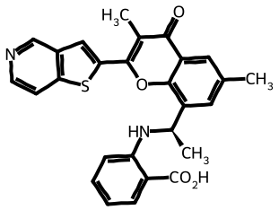 Cc1cc([C@@H](C)Nc2ccccc2C(=O)O)c2oc(-c3cc4cnccc4s3)c(C)c(=O)c2c1